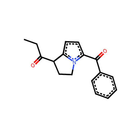 CCC(=O)C1CCn2c(C(=O)c3ccccc3)ccc21